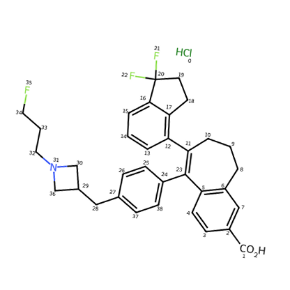 Cl.O=C(O)c1ccc2c(c1)CCCC(c1cccc3c1CCC3(F)F)=C2c1ccc(CC2CN(CCCF)C2)cc1